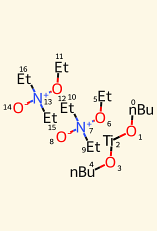 CCCC[O][Ti][O]CCCC.CCO[N+]([O-])(CC)CC.CCO[N+]([O-])(CC)CC